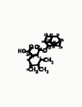 CCC(C)C(C)CC(=CC(=O)OC1C2CC3CC(C2)CC1C3)C(=O)O